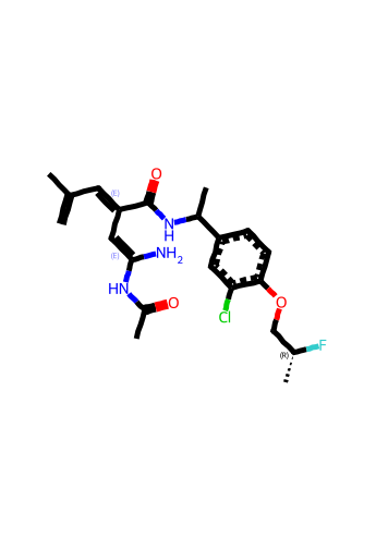 C=C(C)/C=C(\C=C(/N)NC(C)=O)C(=O)NC(C)c1ccc(OC[C@@H](C)F)c(Cl)c1